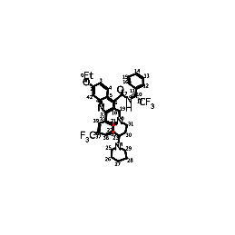 CCOc1ccc2c(C(=O)N[C@H](c3ccccc3)C(F)(F)F)c(CN3CCC(N4CCCCC4)CC3)c(-c3cccc(C(F)(F)F)c3)nc2c1